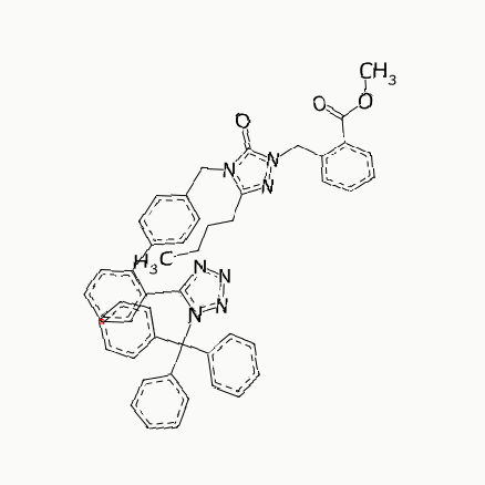 CCCCc1nn(Cc2ccccc2C(=O)OC)c(=O)n1Cc1ccc(-c2ccccc2-c2nnnn2C(c2ccccc2)(c2ccccc2)c2ccccc2)cc1